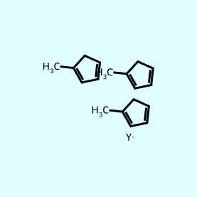 CC1=CC=CC1.CC1=CC=CC1.CC1=CC=CC1.[Y]